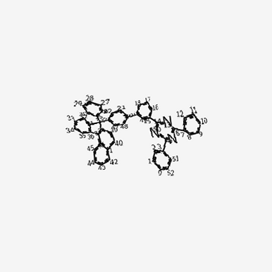 c1ccc(-c2nc(-c3ccccc3)nc(-c3cccc(-c4ccc(C5(c6ccccc6)c6ccccc6-c6c5ccc5ccccc65)cc4)c3)n2)cc1